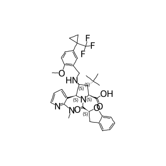 COc1ccc(C2(C(F)(F)F)CC2)cc1CN[C@H]1[C@H](C(C)(C)C)[C@@H](C(=O)O)N(C(=O)[C@@H]2Cc3ccccc3O2)[C@H]1c1cccnc1N(C)C